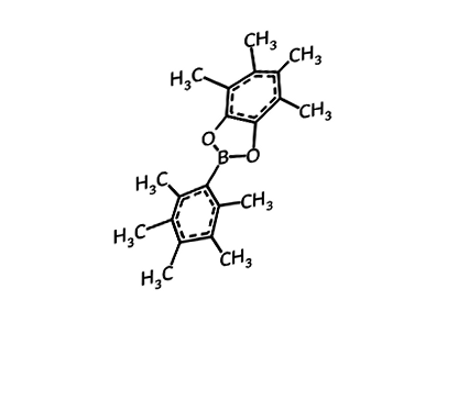 Cc1c(C)c(C)c(B2Oc3c(C)c(C)c(C)c(C)c3O2)c(C)c1C